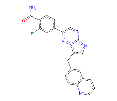 NC(=O)c1ccc(-c2cnc3ncc(Cc4ccc5ncccc5c4)n3n2)cc1F